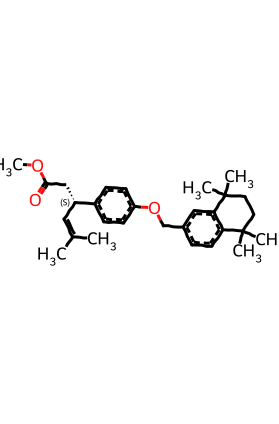 COC(=O)C[C@@H](C=C(C)C)c1ccc(OCc2ccc3c(c2)C(C)(C)CCC3(C)C)cc1